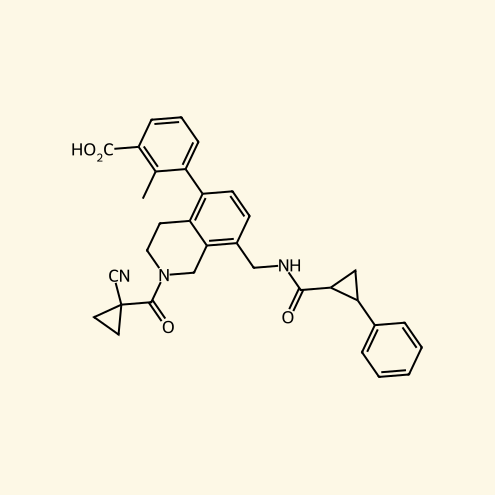 Cc1c(C(=O)O)cccc1-c1ccc(CNC(=O)C2CC2c2ccccc2)c2c1CCN(C(=O)C1(C#N)CC1)C2